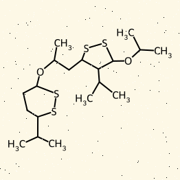 CC(C)OC1SSC(CC(C)OC2CCC(C(C)C)SS2)C1C(C)C